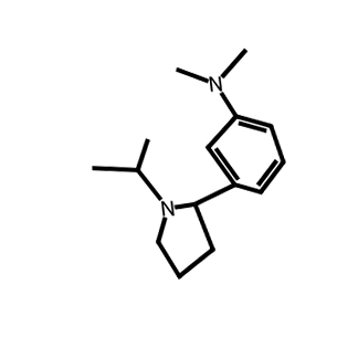 CC(C)N1CCCC1c1cccc(N(C)C)c1